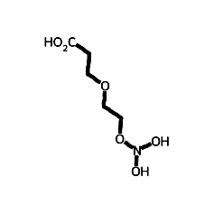 O=C(O)CCOCCON(O)O